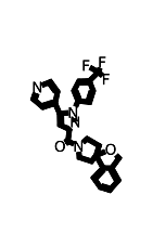 O=C(c1cc(-c2ccncc2)n(-c2ccc(C(F)(F)F)cc2)n1)N1CCC2(CC1)OCc1ccccc12